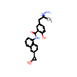 C/C(Cc1ccc(O)c(C(=O)Nc2cccc3cc(C4CC4O)ccc23)c1)=N\N